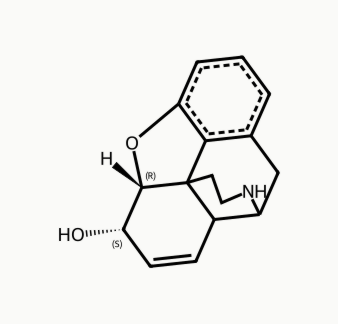 O[C@H]1C=CC2C3Cc4cccc5c4C2(CCN3)[C@H]1O5